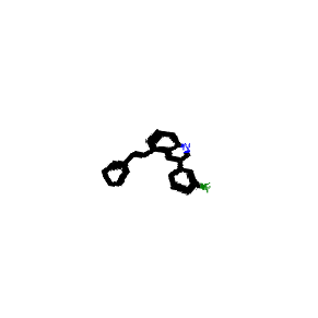 Fc1cccc(-c2cnc3cccc(/C=C/c4ccccc4)c3c2)c1